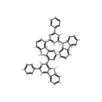 c1ccc(-c2nc(-c3cccc4oc5c(-c6nc(-c7ccccc7)nc7c6sc6ccccc67)cccc5c34)nc(-n3c4ccccc4c4ccccc43)n2)cc1